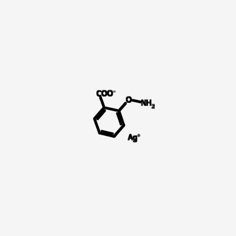 NOc1ccccc1C(=O)[O-].[Ag+]